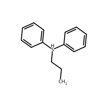 [CH2]CC[SH](c1ccccc1)c1ccccc1